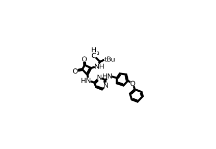 CC(Nc1c(Nc2ccnc(Nc3ccc(Oc4ccccc4)cc3)n2)c(=O)c1=O)C(C)(C)C